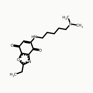 CCc1nc2c(o1)C(=O)C=C(NCCCCCN(C)C)C2=O